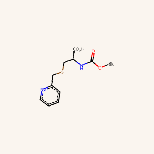 CC(C)(C)OC(=O)N[C@@H](CSCc1ccccn1)C(=O)O